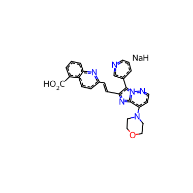 O=C(O)c1cccc2nc(C=Cc3nc4c(N5CCOCC5)ccnn4c3-c3cccnc3)ccc12.[NaH]